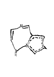 C1=CNn2cccc2C=N1